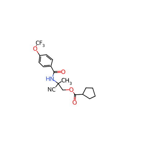 CC(C#N)(COC(=O)C1CCCC1)NC(=O)c1ccc(OC(F)(F)F)cc1